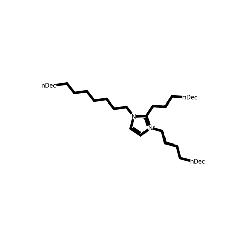 CCCCCCCCCCCCCCCCCn1cc[n+](CCCCCCCCCCCCCC)c1CCCCCCCCCCCCC